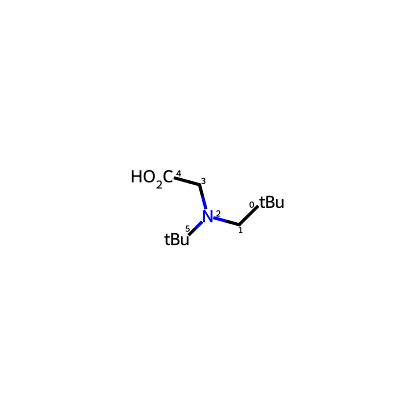 CC(C)(C)CN(CC(=O)O)C(C)(C)C